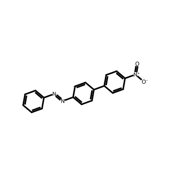 O=[N+]([O-])c1ccc(-c2c[c]c(N=Nc3ccccc3)cc2)cc1